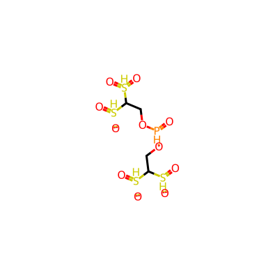 O=[PH](OCC([SH](=O)=O)[SH](=O)=O)OCC([SH](=O)=O)[SH](=O)=O